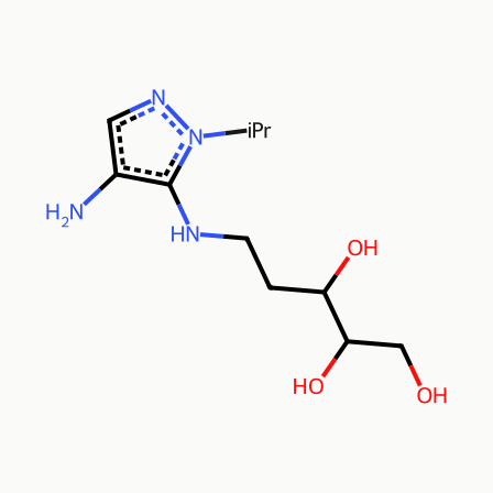 CC(C)n1ncc(N)c1NCCC(O)C(O)CO